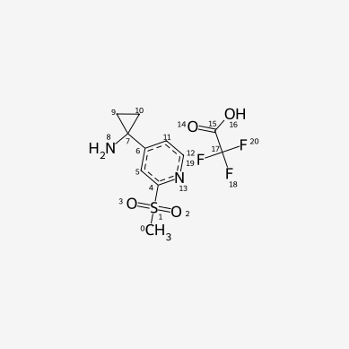 CS(=O)(=O)c1cc(C2(N)CC2)ccn1.O=C(O)C(F)(F)F